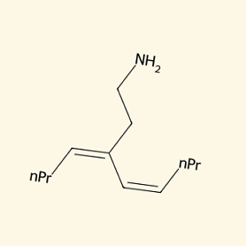 CCC/C=C\C(=C/CCC)CCN